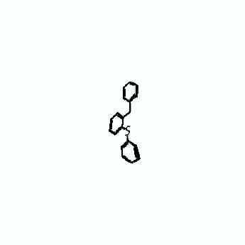 c1ccc(Cc2ccccc2Sc2ccccc2)cc1